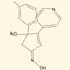 CC(=O)OC1(c2cccc(C)c2)C/C(=N/O)C=C1c1ccncc1